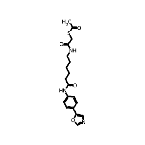 CC(=O)SCC(=O)NCCCCCC(=O)Nc1ccc(-c2cnco2)cc1